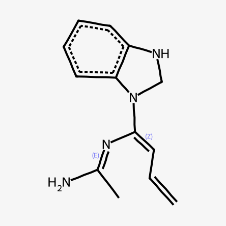 C=C/C=C(\N=C(/C)N)N1CNc2ccccc21